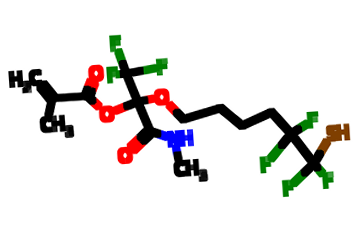 C=C(C)C(=O)OC(OCCCCC(F)(F)C(F)(F)S)(C(=O)NC)C(F)(F)F